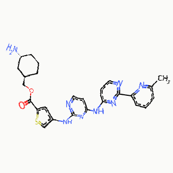 Cc1cccc(-c2nccc(Nc3ccnc(Nc4csc(C(=O)OC[C@@H]5CCC[C@@H](N)C5)c4)n3)n2)n1